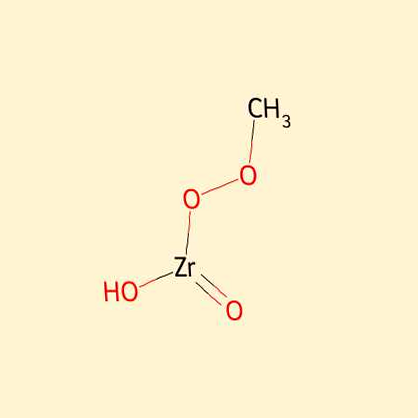 CO[O][Zr](=[O])[OH]